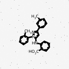 Cc1cccc(-c2cc(Nc3ccccc3C(=O)O)n(-c3ccccc3C)n2)c1